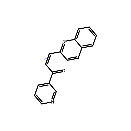 O=C(/C=C\c1ccc2ccccc2n1)c1cccnc1